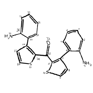 Nc1ccccc1-c1ccsc1C(=O)c1sccc1-c1ccccc1N